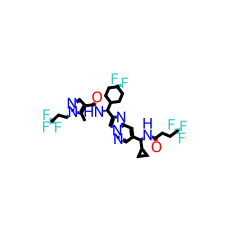 Cc1c(C(=O)N[C@H](c2cn3ncc(C(NC(=O)CCC(F)(F)F)C4CC4)cc3n2)C2CCC(F)(F)CC2)cnn1CCC(F)(F)F